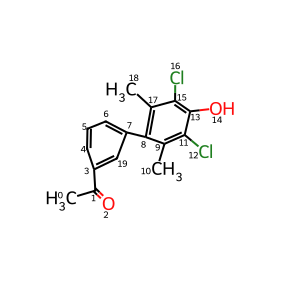 CC(=O)c1cccc(-c2c(C)c(Cl)c(O)c(Cl)c2C)c1